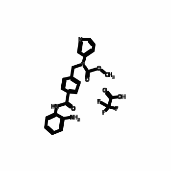 COC(=O)N(Cc1ccc(C(=O)Nc2ccccc2N)cc1)c1cccnc1.O=C(O)C(F)(F)F